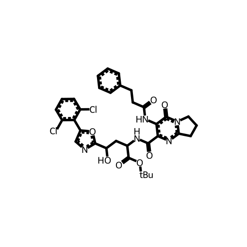 CC(C)(C)OC(=O)C(CC(O)c1ncc(-c2c(Cl)cccc2Cl)o1)NC(=O)c1nc2n(c(=O)c1NC(=O)CCc1ccccc1)CCC2